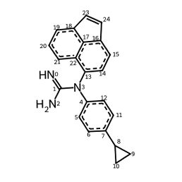 N=C(N)N(c1ccc(C2CC2)cc1)c1ccc2c3c(cccc13)C=C2